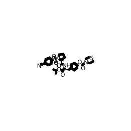 CC(C)OC(=O)[C@H](Cc1ccc(OC(=O)N2CCSCC2)cc1)NC(=O)[C@@H]1CCCN1S(=O)(=O)c1ccc(C#N)cc1